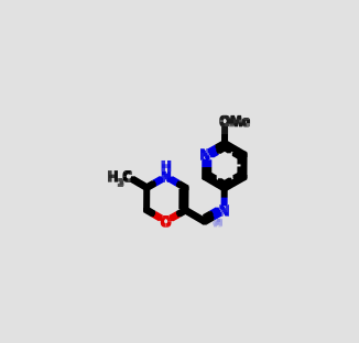 COc1ccc(/N=C\C2=CNC(C)CO2)cn1